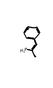 CC(P)=Cc1ccccc1